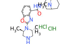 C[C@@H]1CNC[C@@H](C)N1c1nc2c(C(=O)NC3CC4CCCC(C3)N4C)cccc2o1.Cl.Cl